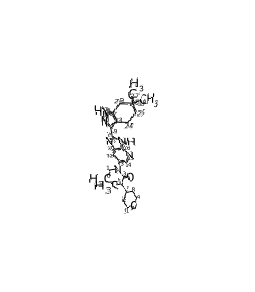 CCN(C(=O)C(C)C1CCOCC1)c1cnc2[nH]c(-c3n[nH]c4c3CCC(C)(C)C4)nc2c1